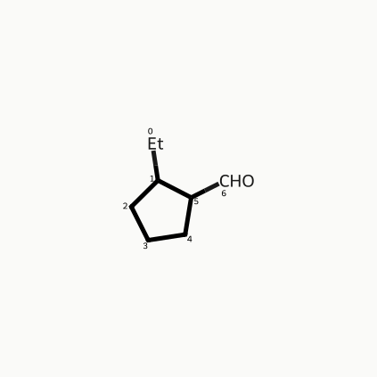 [CH2]CC1CCCC1C=O